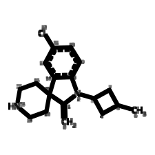 C=C1N(C2CC(C)C2)c2ccc(Cl)cc2C12CCNCC2